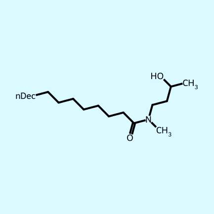 CCCCCCCCCCCCCCCCCC(=O)N(C)CCC(C)O